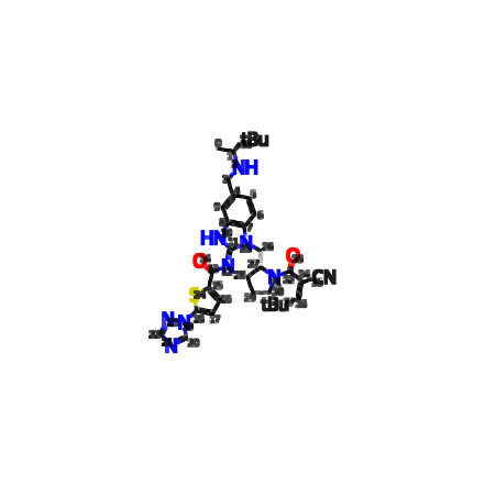 C[C@H](NCc1ccc2c(c1)[nH]c(=NC(=O)c1ccc(-n3cncn3)s1)n2C[C@H]1CCCN1C(=O)C(C#N)=CC(C)(C)C)C(C)(C)C